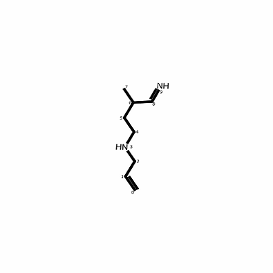 C=CCNCCC(C)C=N